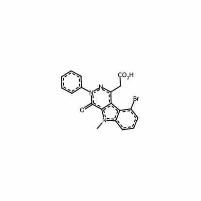 Cn1c2cccc(Br)c2c2c(CC(=O)O)nn(-c3ccccc3)c(=O)c21